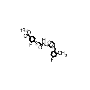 Cc1cc(F)ccc1CN1CCO[C@@H](CNC(=O)CSc2ccc(C(=O)OC(C)(C)C)cc2F)C1